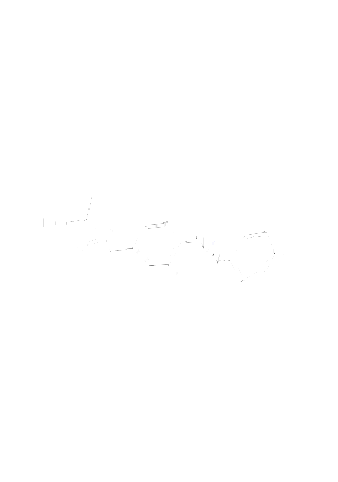 CC(O)S(=O)(=O)Cc1ccc(/N=N/c2ccccc2)cc1